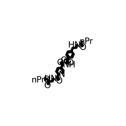 CCCOC(=O)CNC(=O)c1ccc(C(=O)NS(=O)(=O)c2ccc(CCNC(=O)CCC)cc2)cn1